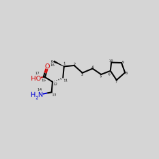 C[C@@H](CCCCC1CCCC1)C[C@H](CN)C(=O)O